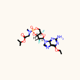 CCOc1nc(N)nc2c1ncn2[C@@H]1O[C@]2(F)COP(=O)(N(C)CC(=O)OC(C)C)O[C@H]2[C@@]1(C)F